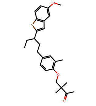 CCC(CCc1ccc(OCC(C)(C)C(C)=O)c(C)c1)c1cc2cc(OC)ccc2s1